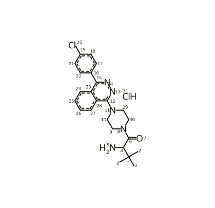 CC(C)(C)C(N)C(=O)N1CCN(c2nnc(-c3ccc(Cl)cc3)c3ccccc23)CC1.Cl